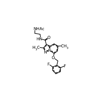 CC(=O)NCCNC(=O)c1c(C)nn2c(OCc3c(F)cccc3F)cc(C)cc12